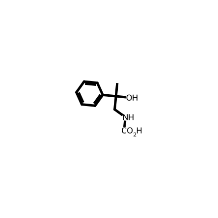 CC(O)(CNC(=O)O)c1ccccc1